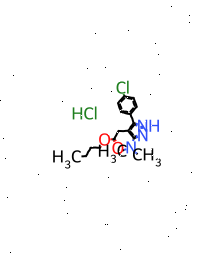 CCCCOC(=O)Cc1c(N(C)C)n[nH]c1-c1ccc(Cl)cc1.Cl